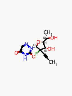 CC#CC1(F)[C@@H](O)[C@@H]([C@H](C)O)O[C@H]1n1ncc(=O)[nH]c1=O